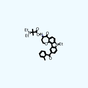 CCN(CC)C(C)(C)C(=O)O/N=C1\CCOc2c(ccc3c2c2cc(C(=O)c4ccccc4C)ccc2n3CC)C1=O